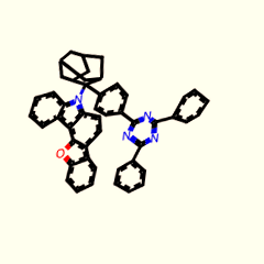 c1ccc(-c2nc(-c3ccccc3)nc(-c3ccc(C4(n5c6ccccc6c6c7oc8ccccc8c7ccc65)C5CC6CC(C5)CC4C6)cc3)n2)cc1